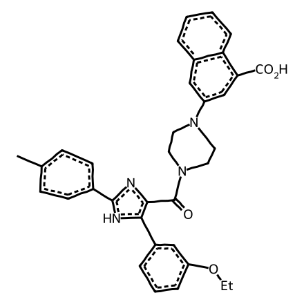 CCOc1cccc(-c2[nH]c(-c3ccc(C)cc3)nc2C(=O)N2CCN(c3cc(C(=O)O)c4ccccc4c3)CC2)c1